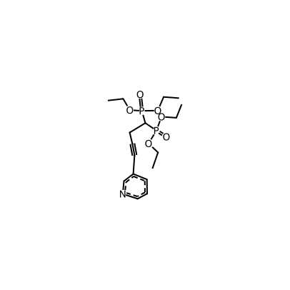 CCOP(=O)(OCC)C(CC#Cc1cccnc1)P(=O)(OCC)OCC